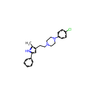 Cc1[nH]c(-c2ccccc2)cc1CCN1CCN(c2ccc(Cl)cc2)CC1